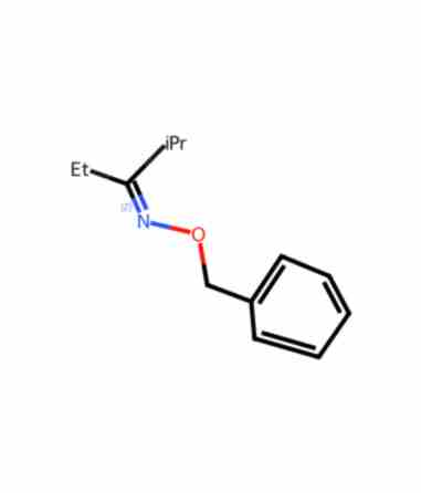 CC/C(=N/OCc1ccccc1)C(C)C